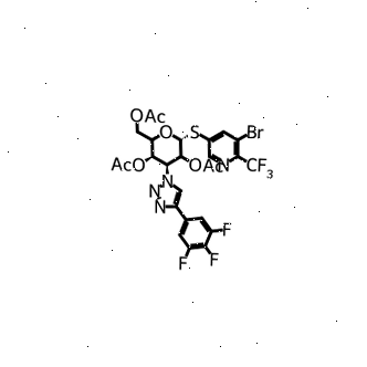 CC(=O)OCC1O[C@H](Sc2cnc(C(F)(F)F)c(Br)c2)C(OC(C)=O)[C@@H](n2cc(-c3cc(F)c(F)c(F)c3)nn2)[C@H]1OC(C)=O